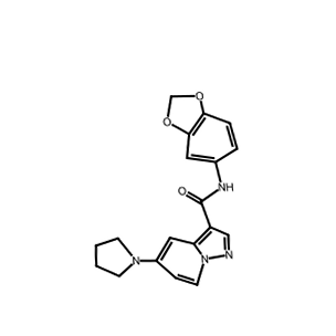 O=C(Nc1ccc2c(c1)OCO2)c1cnn2ccc(N3CCCC3)cc12